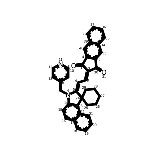 O=C1C(=C/C=C2/N(Cc3ccncc3)c3ccc4ccccc4c3C23CCCCC3)C(=O)c2cc3ccccc3cc21